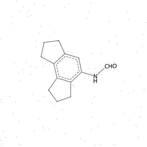 O=CNc1cc2c(c3c1CCC3)CCC2